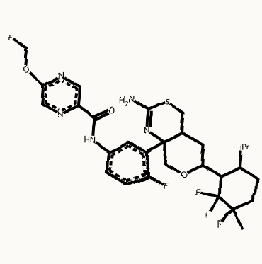 CC(C)C1CCC(C)(F)C(F)(F)C1C1CC2CSC(N)=NC2(c2cc(NC(=O)c3cnc(OCF)cn3)ccc2F)CO1